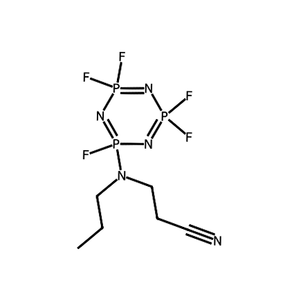 CCCN(CCC#N)P1(F)=NP(F)(F)=NP(F)(F)=N1